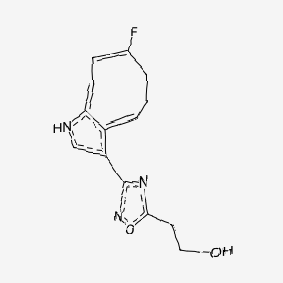 OCCc1nc(-c2c[nH]\c3c2=CCC/C(F)=C\C=3)no1